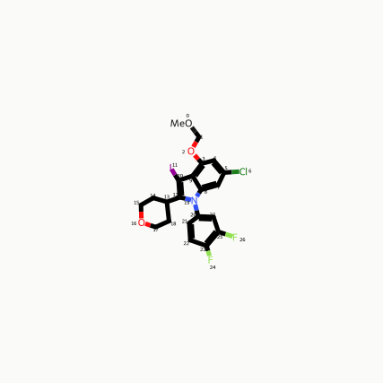 COCOc1cc(Cl)cc2c1c(I)c(C1CCOCC1)n2-c1ccc(F)c(F)c1